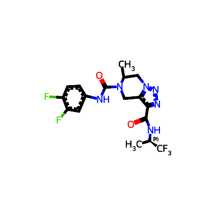 CC1Cn2nnc(C(=O)N[C@H](C)C(F)(F)F)c2CN1C(=O)Nc1ccc(F)c(F)c1